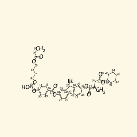 C=CC(=O)OCCCCOC(O)Oc1ccc(C(=O)Oc2ccc3c(c2)C(CC)c2cc(OC(=O)C(=C)CC(=O)OC4CCCCC4)ccc2-3)cc1